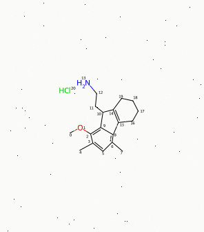 COc1c(C)cc(C)c2c1C(CCN)C1=C2CCCC1.Cl